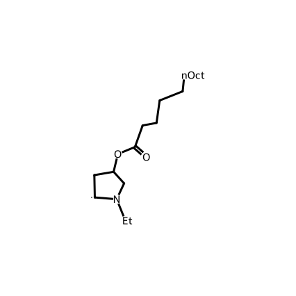 CCCCCCCCCCCCC(=O)OC1C[CH]N(CC)C1